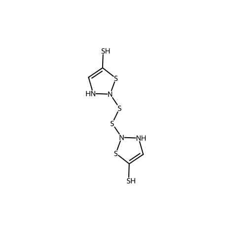 SC1=CNN(SSN2NC=C(S)S2)S1